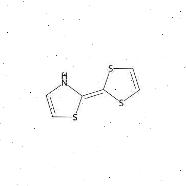 C1=CSC(=C2SC=CS2)N1